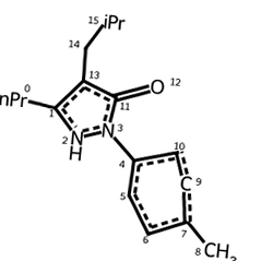 CCCc1[nH]n(-c2ccc(C)cc2)c(=O)c1CC(C)C